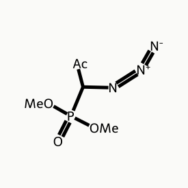 COP(=O)(OC)C(N=[N+]=[N-])C(C)=O